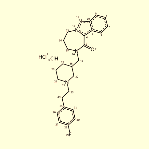 Cl.Cl.O=C1c2c3ccccc3nn2CCCN1CC1CCCN(CCc2ccc(F)cc2)C1